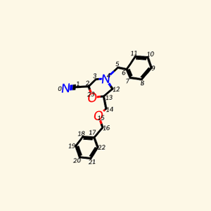 N#CC1CN(Cc2ccccc2)CC(COCc2ccccc2)O1